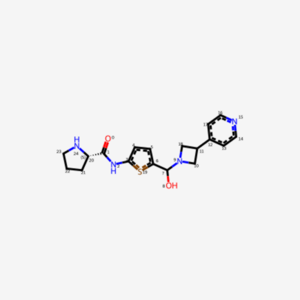 O=C(Nc1ccc(C(O)N2CC(c3ccncc3)C2)s1)[C@@H]1CCCN1